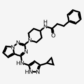 O=C(CCc1ccccc1)NC1CCN(c2nc(Nc3cc(C4CC4)n[nH]3)c3cccn3n2)CC1